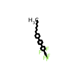 CCCCCCCC1CCC(c2ccc(-c3cc(F)c(C#CC(F)(F)F)c(F)c3)cc2)CC1